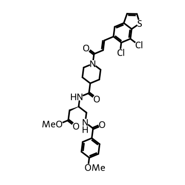 COC(=O)C[C@H](CNC(=O)c1ccc(OC)cc1)NC(=O)C1CCN(C(=O)/C=C/c2cc3ccsc3c(Cl)c2Cl)CC1